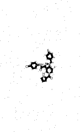 C[C@@H]1CN(C(=O)c2ccc[nH]2)Cc2c(C(=O)Nc3ccc(Cl)cc3)nn(Cc3ccc(F)cc3)c21